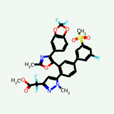 COC(=O)C(F)(F)c1cc(-c2ccc(-c3cc(F)cc(S(C)(=O)=O)c3)cc2-c2oc(C)nc2-c2ccc3c(c2)OC(F)(F)O3)n(C)n1